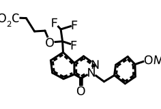 COc1ccc(Cn2ncc3c(C(F)(OCCCC(=O)O)C(F)F)cccc3c2=O)cc1